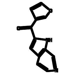 O=C(c1ccoc1)c1cc2ccncc2[nH]1